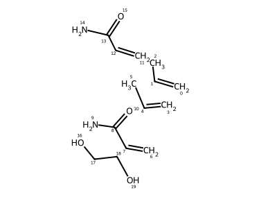 C=CC.C=CC.C=CC(N)=O.C=CC(N)=O.OCCO